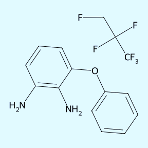 FCC(F)(F)C(F)(F)F.Nc1cccc(Oc2ccccc2)c1N